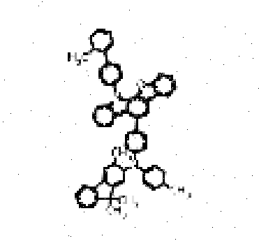 CC1C=CC(N(c2ccc(-c3cc4c5ccccc5oc4c4c3c3ccccc3n4-c3ccc(C4=CC=CCC4C)cc3)cc2)C2C=C3C(=CC2C)c2ccccc2C3(C)C)=CC1